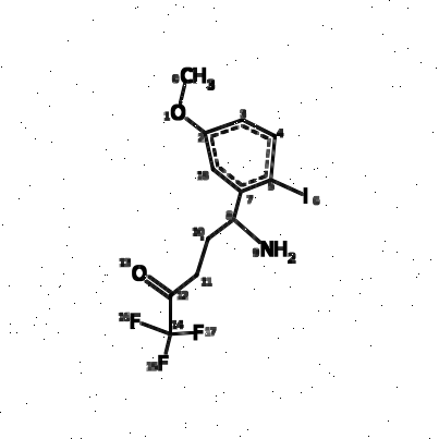 COc1ccc(I)c(C(N)[CH]CC(=O)C(F)(F)F)c1